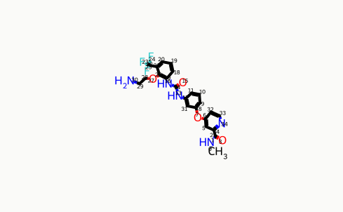 CNC(=O)c1cc(Oc2cccc(NC(=O)Nc3cccc(C(F)(F)F)c3OCCN)c2)ccn1